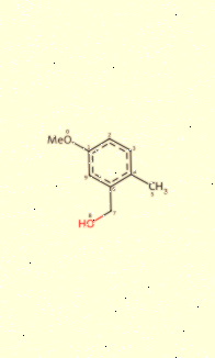 COc1ccc(C)c(CO)c1